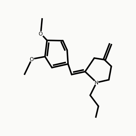 C=C1CCN(CCC)C(=Cc2ccc(OC)c(OC)c2)C1